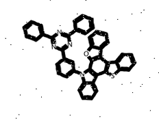 c1ccc(-c2nc(-c3ccccc3)nc(-c3cccc(-n4c5ccccc5c5c6sc7ccccc7c6c6c7ccccc7oc6c54)c3)n2)cc1